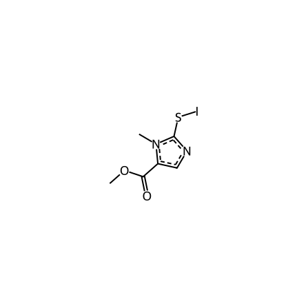 COC(=O)c1cnc(SI)n1C